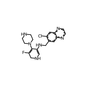 FC1=C(N2CCNCC2)C(NCc2cc3nccnc3cc2Cl)=CNC1